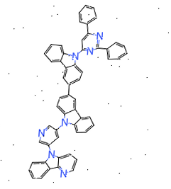 c1ccc(-c2cc(-n3c4ccccc4c4cc(-c5ccc6c(c5)c5ccccc5n6-c5cncc(-n6c7ccccc7c7ncccc76)c5)ccc43)nc(-c3ccccc3)n2)cc1